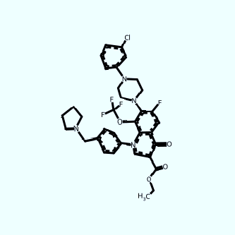 CCOC(=O)c1cn(-c2ccc(CN3CCCC3)cc2)c2c(OC(F)(F)F)c(N3CCN(c4cccc(Cl)c4)CC3)c(F)cc2c1=O